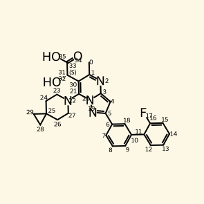 Cc1nc2cc(-c3cccc(-c4ccccc4F)c3)nn2c(N2CCC3(CC2)CC3)c1[C@H](O)C(=O)O